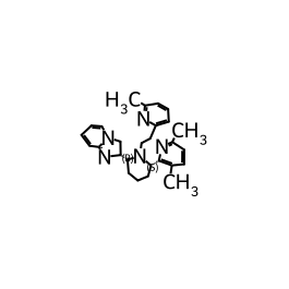 Cc1cccc(CCN2[C@@H](C3CN4C=CC=CC4=N3)CCC[C@H]2c2nc(C)ccc2C)n1